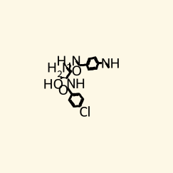 CNc1ccc(C(N)OC(N)[C@H](CO)NC(=O)c2ccc(Cl)cc2)cc1